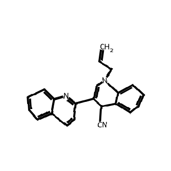 C=CCN1C=C(c2ccc3ccccc3n2)C(C#N)c2ccccc21